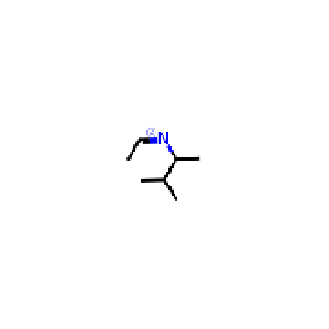 C/C=N\C(C)C(C)C